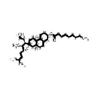 C=CC[C@H]([C@H](C)CCCC(C)C)[C@@]1(C)CCC2[C@@H](CC=C3C[C@@H](OC(=O)CCCCCCCC)CC[C@@]32C)C1